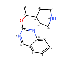 CC(Oc1ncc2ccccc2n1)C1CCNCC1